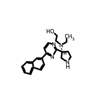 CCN(CCO)[C@]1(c2nccc(-c3ccc4ccccc4c3)n2)CCNC1